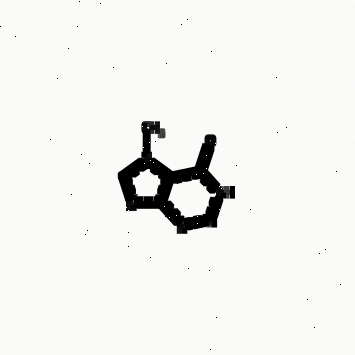 Cn1cnc2nn[nH]c(=O)c21